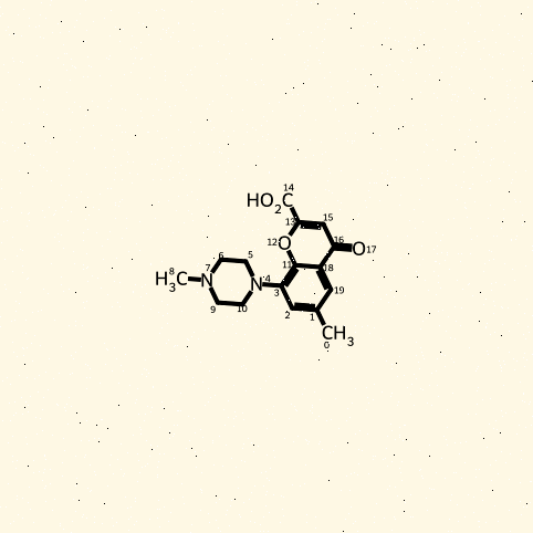 Cc1cc(N2CCN(C)CC2)c2oc(C(=O)O)cc(=O)c2c1